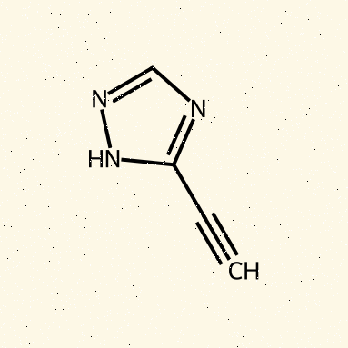 C#Cc1ncn[nH]1